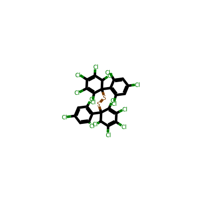 ClC1=C(Cl)C(Cl)C(SSC2(c3c(Cl)cc(Cl)cc3Cl)C(Cl)=C(Cl)C(Cl)=C(Cl)C2Cl)(c2c(Cl)cc(Cl)cc2Cl)C(Cl)=C1Cl